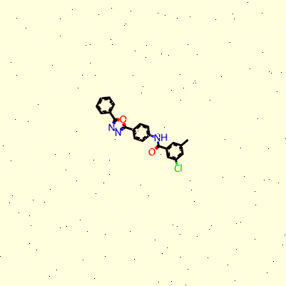 Cc1cc(Cl)cc(C(=O)Nc2ccc(-c3nnc(-c4ccccc4)o3)cc2)c1